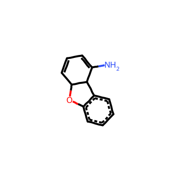 NC1=CC=CC2Oc3ccccc3C12